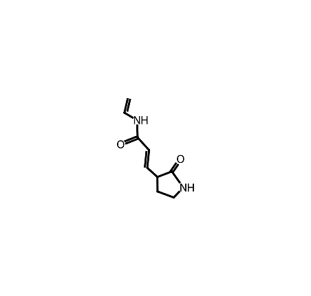 C=CNC(=O)C=CC1CCNC1=O